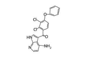 Nc1ccnc2[nH]cc(C(=O)c3ccc(Oc4ccccc4)c(Cl)c3Cl)c12